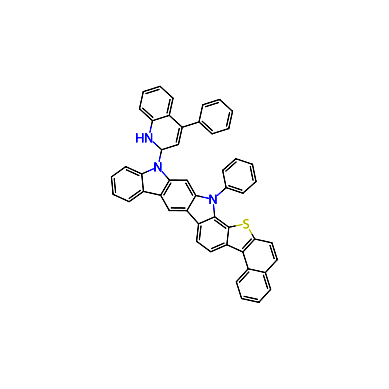 C1=C(c2ccccc2)c2ccccc2NC1n1c2ccccc2c2cc3c4ccc5c(sc6ccc7ccccc7c65)c4n(-c4ccccc4)c3cc21